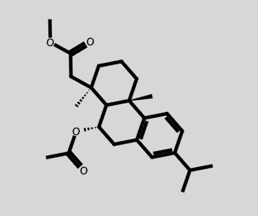 COC(=O)C[C@@]1(C)CCC[C@]2(C)c3ccc(C(C)C)cc3C[C@H](OC(C)=O)C12